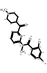 CN1CCC(C(=O)c2cccc(N(C)C(=O)c3ccc(F)cc3Cl)n2)CC1